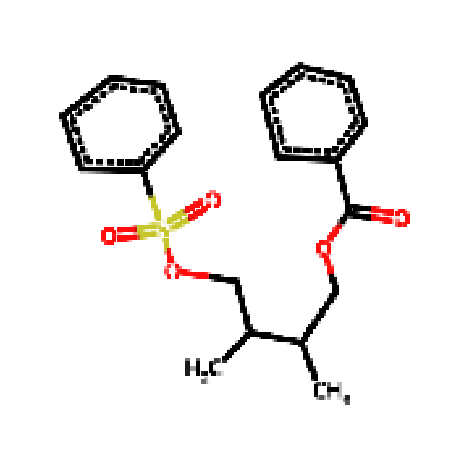 CC(COC(=O)c1ccccc1)C(C)COS(=O)(=O)c1ccccc1